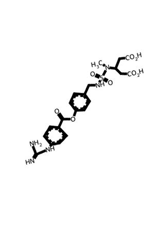 CN(C(CC(=O)O)CC(=O)O)S(=O)(=O)NCc1ccc(OC(=O)c2ccc(NC(=N)N)cc2)cc1